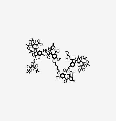 C=C1C[C@H]2C(O)N(C(=O)OCc3ccc(O[C@@H]4O[C@H](C(=O)OC)[C@@H](OC(C)=O)[C@H](OC(C)=O)[C@H]4OC(C)=O)c(C(=O)NCCOC)c3)c3cc(OCCCCCOc4cc5c(cc4OC)C(=O)N4CC(=C)C[C@H]4C(O)N5C(=O)OCc4ccc(O[C@@H]5O[C@H](C(=O)OC)[C@@H](OC(C)=O)[C@H](OC(C)=O)[C@H]5OC(C)=O)c(C(=O)NCCON(C(=O)OC(C)(C)C)C(=O)OC(C)(C)C)c4)c(OC)cc3C(=O)N2C1